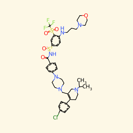 CC(C)N1CCC(c2ccc(Cl)cc2)=C(CN2CCN(c3ccc(C(=O)N[S+]([O-])c4ccc(NCCCN5CCOCC5)c(S(=O)(=O)C(F)(F)F)c4)cc3)CC2)C1